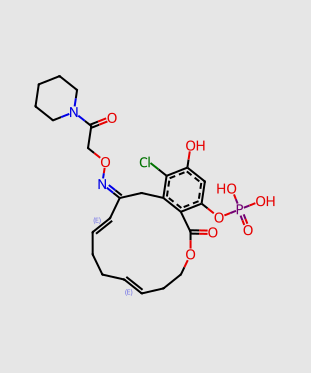 O=C1OCC/C=C/CC/C=C/C(=NOCC(=O)N2CCCCC2)Cc2c(Cl)c(O)cc(OP(=O)(O)O)c21